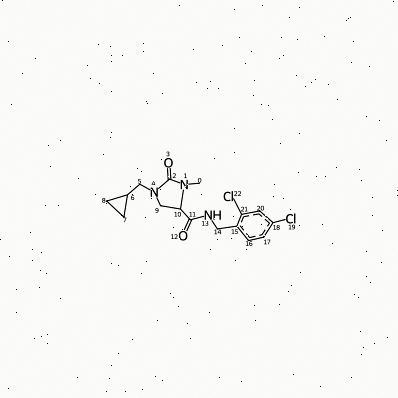 CN1C(=O)N(CC2CC2)CC1C(=O)NCc1ccc(Cl)cc1Cl